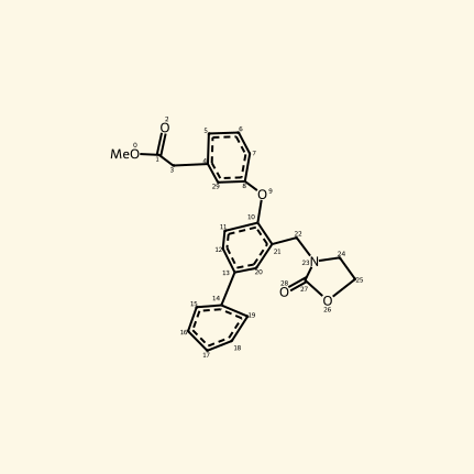 COC(=O)Cc1cccc(Oc2ccc(-c3ccccc3)cc2CN2CCOC2=O)c1